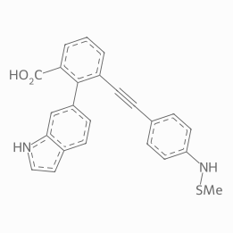 CSNc1ccc(C#Cc2cccc(C(=O)O)c2-c2ccc3cc[nH]c3c2)cc1